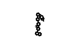 CC1CC2CC(C)C3(c4ccccc4-c4ccc(-c5ccc6c(c5)oc5cc(-c7cccc8ccccc78)ccc56)cc43)C(C1)C2